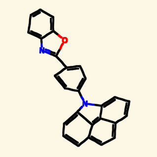 c1ccc2oc(-c3ccc(-n4c5cccc6ccc7cccc4c7c65)cc3)nc2c1